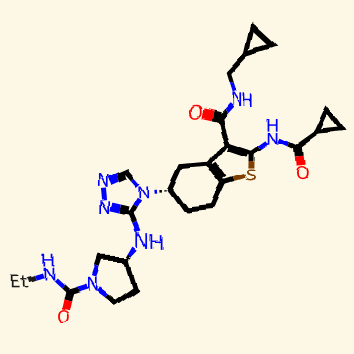 CCNC(=O)N1CC[C@H](Nc2nncn2[C@H]2CCc3sc(NC(=O)C4CC4)c(C(=O)NCC4CC4)c3C2)C1